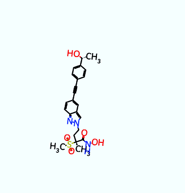 C[C@@H](O)c1ccc(C#Cc2ccc3nn(CC[C@](C)(C(=O)NO)S(C)(=O)=O)cc3c2)cc1